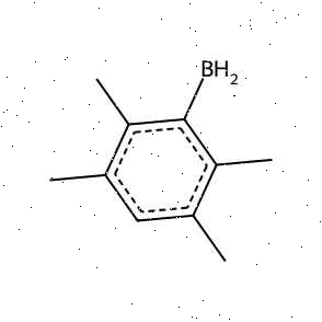 Bc1c(C)c(C)cc(C)c1C